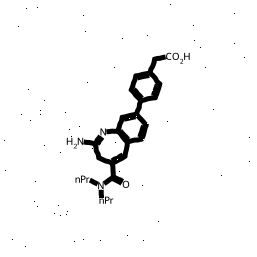 CCCN(CCC)C(=O)C1=Cc2ccc(-c3ccc(CC(=O)O)cc3)cc2N=C(N)C1